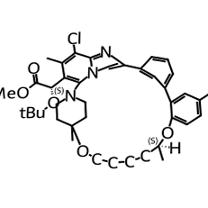 COC(=O)[C@@H](OC(C)(C)C)c1c(C)c(Cl)c2nc3cn2c1N1CCC(C)(CC1)OCCCC[C@H](C)Oc1ccc(F)cc1-c1cccc-3c1